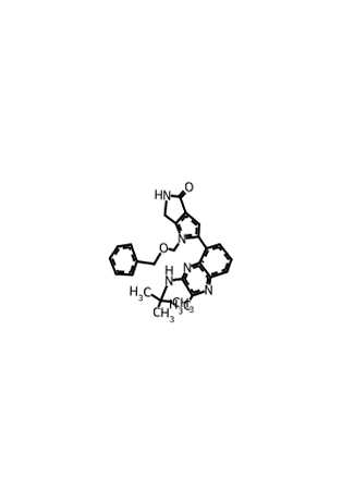 Cc1nc2cccc(-c3cc4c(n3COCc3ccccc3)CNC4=O)c2nc1NC(C)(C)C